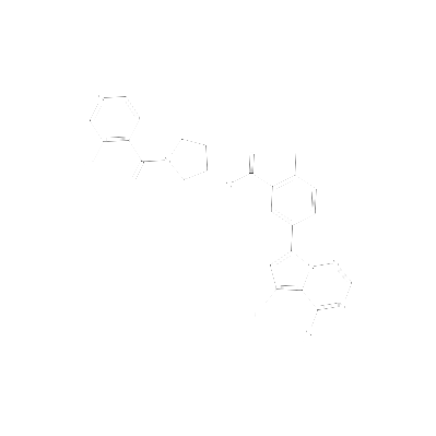 Cc1ccc(-c2cc(C(F)(F)F)c3c(N)ncnn23)cc1C(=O)N[C@@H]1CN(C(=O)c2ccncc2Cl)C[C@@H]1F